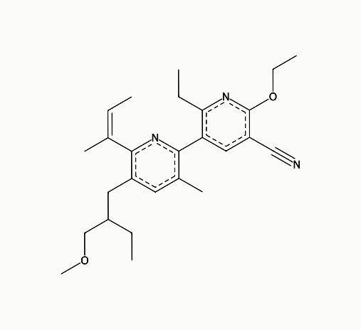 C/C=C(/C)c1nc(-c2cc(C#N)c(OCC)nc2CC)c(C)cc1CC(CC)COC